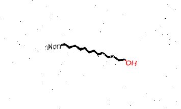 [CH2]CCCCCCCCCCCCCCCCCCCCCO